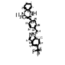 Nc1ccccc1NC(=O)c1ccc(Cn2ncc3cc(C(F)(F)F)ccc32)cc1